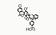 COc1cn([C@H](Cc2ccccc2)C(=O)Nc2ccc(C(=O)O)cc2)c(=O)cc1-c1cc(Cl)ccc1C(C)=O